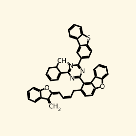 C=c1/c(=C\C=C/Cc2ccc3oc4ccccc4c3c2-c2nc(C3=CC=CCC3C)nc(-c3ccc4sc5ccccc5c4c3)n2)oc2ccccc12